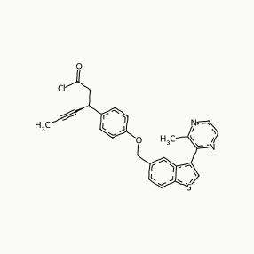 CC#C[C@@H](CC(=O)Cl)c1ccc(OCc2ccc3scc(-c4nccnc4C)c3c2)cc1